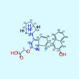 O=C(O)COc1nc(N2C[C@H]3CC[C@@H](C2)N3)c2ccc(-c3cc(O)cc4ccccc34)c(F)c2n1